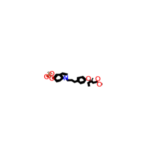 CC[C@@](C)(CC(=O)OC)Oc1ccc(CCCn2ccc3cc(OS(C)(=O)=O)ccc32)cc1